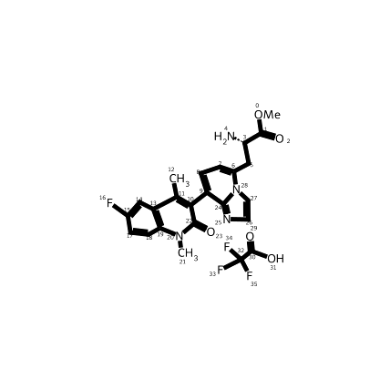 COC(=O)[C@@H](N)Cc1ccc(-c2c(C)c3cc(F)ccc3n(C)c2=O)c2nccn12.O=C(O)C(F)(F)F